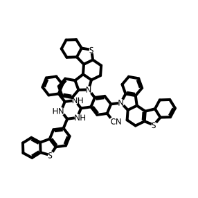 N#CC1C=C(C2NC(c3ccc4sc5c(c4c3)=CCCC=5)NC(C3CC=CCC3)N2)C(N2C3C=CC=CC3C3C4C(CCC32)SC2CCCCC24)=CC1N1C2=C(C=CCC2)C2C3=C(CCC21)SC1C=CCCC31